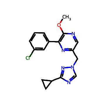 COc1ncc(Cn2cnc(C3CC3)n2)nc1-c1cccc(Cl)c1